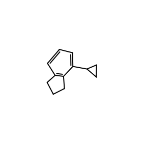 c1cc2c(c(C3CC3)c1)CCC2